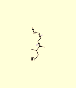 C=N/C=C\C=C(/C)C(C)CC(C)C